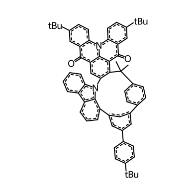 CC(C)(C)c1ccc(-c2cc3cc(c2)-c2cccc4c5ccccc5n(c24)-c2cc4c(=O)c5cc(C(C)(C)C)ccc5n5c6ccc(C(C)(C)C)cc6c(=O)c(c2C(C)(C)c2ccc-3cc2)c45)cc1